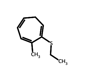 CCSC1=CCC=CC=C1C